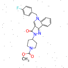 COC(=O)N1CCC(n2nc3c4ccccc4n(Cc4ccc(F)cc4)cc-3c2=O)CC1